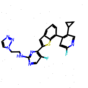 Fc1cc(-c2cccc3cc(-c4nc(NCCn5ccnn5)ncc4F)sc23)c(C2CC2)cn1